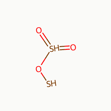 O=[SH](=O)OS